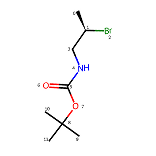 C[C@@H](Br)CNC(=O)OC(C)(C)C